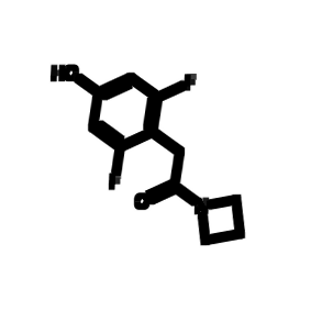 O=C(Cc1c(F)cc(O)cc1F)N1CCC1